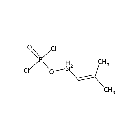 CC(C)=C[SiH2]OP(=O)(Cl)Cl